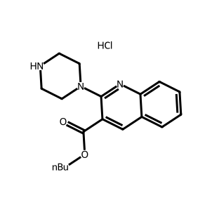 CCCCOC(=O)c1cc2ccccc2nc1N1CCNCC1.Cl